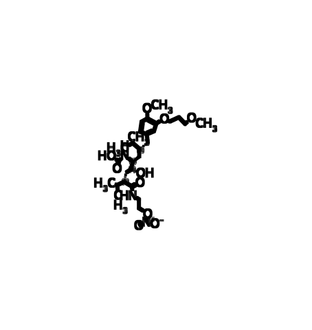 COCCCOc1cc(C[C@H](C[C@H](NC(=O)O)[C@H](O)C[C@H](C(=O)NCCO[N+](=O)[O-])C(C)C)C(C)C)ccc1OC